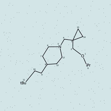 CC(C)OCC1(CN2CCC(CCC(C)(C)C)CC2)CC1